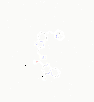 O=C(NCc1cn2cc(CN3CC4CCC3CC4)ccc2n1)c1cc(=O)n2ccccc2n1